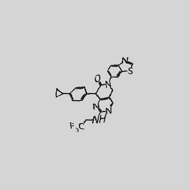 O=C1C(c2ccc(C3CC3)cc2)c2nc(NCC(F)(F)F)ncc2CN1c1ccc2ncsc2c1